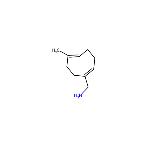 C/C1=C\CC/C=C(/CN)CC1